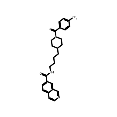 O=C(NCCCCC1CCN(C(=O)c2ccc(C(F)(F)F)cc2)CC1)c1ccc2ccncc2c1